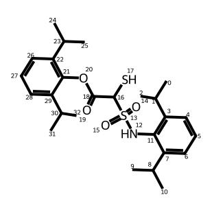 CC(C)c1cccc(C(C)C)c1NS(=O)(=O)C(S)C(=O)Oc1c(C(C)C)cccc1C(C)C